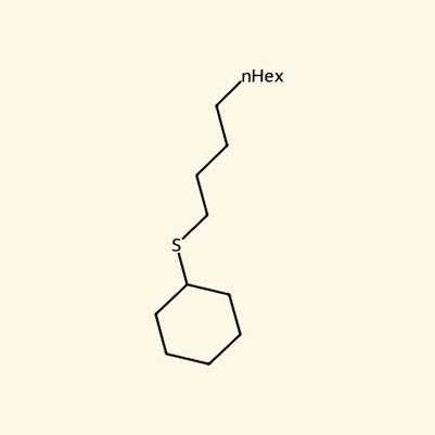 CCCCCCCCCCSC1CCCCC1